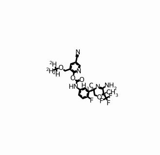 [2H]C([2H])([2H])OCc1cc(C#N)cnc1OC(=O)Nc1ccc(F)c([C@]2(C)CO[C@@](C)(C(F)(F)F)C(N)=N2)c1